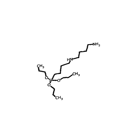 CCCO[Si](CCCCNCCCCN)(OCCC)OCCC